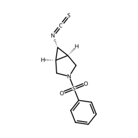 O=S(=O)(c1ccccc1)N1C[C@@H]2[C@H](C1)[C@H]2N=C=S